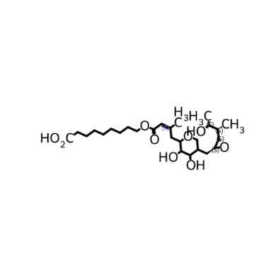 C/C(=C/C(=O)OCCCCCCCCC(=O)O)CC1OCC(C[C@@H]2O[C@H]2[C@@H](C)[C@H](C)O)C(O)C1O